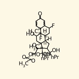 CCCC(O)(O)C1C[C@H]2[C@@H]3CC(F)C4=CC(=O)C=C[C@]4(C)[C@@]3(F)C(O)C[C@]2(C)[C@]1(C(=O)COS(C)(=O)=O)C(O)(O)CCC